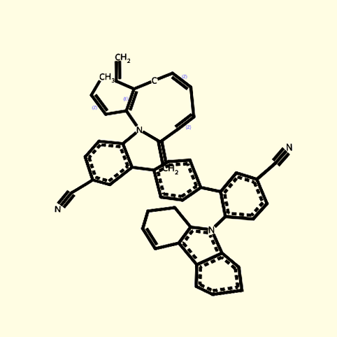 C=C/C1=C(\C=C/C)N(c2ccc(C#N)cc2-c2ccc(-c3cc(C#N)ccc3-n3c4c(c5ccccc53)C=CCC4)cc2)C(=C)/C=C\C=C/C1